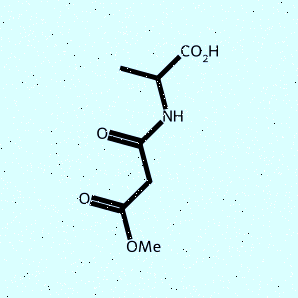 COC(=O)CC(=O)NC(C)C(=O)O